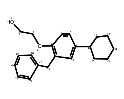 OCCOc1ccc(C2CCCCC2)cc1Cc1ccccc1